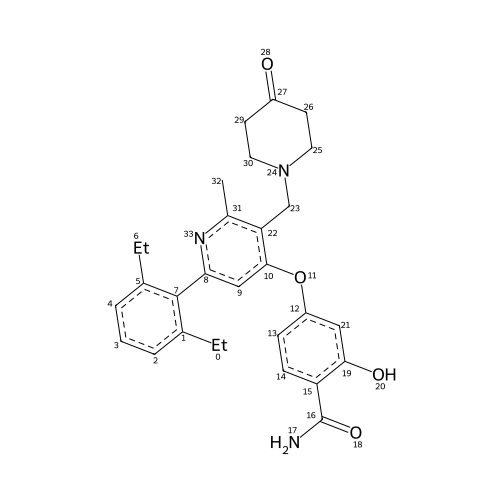 CCc1cccc(CC)c1-c1cc(Oc2ccc(C(N)=O)c(O)c2)c(CN2CCC(=O)CC2)c(C)n1